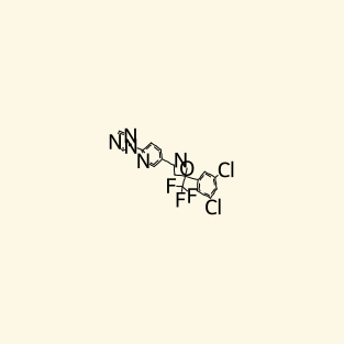 FC(F)(F)C1(c2cc(Cl)cc(Cl)c2)CC(c2ccc(-n3cncn3)nc2)=NO1